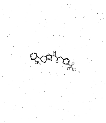 CCS(=O)(=O)c1ccc(CC(=O)Nc2nc3c(s2)CC(c2ccccc2C(F)(F)F)CC3)cc1